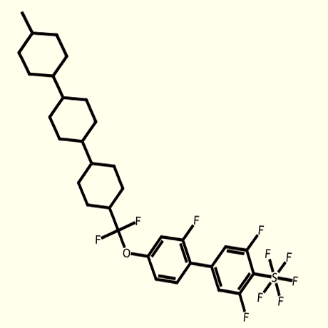 CC1CCC(C2CCC(C3CCC(C(F)(F)Oc4ccc(-c5cc(F)c(S(F)(F)(F)(F)F)c(F)c5)c(F)c4)CC3)CC2)CC1